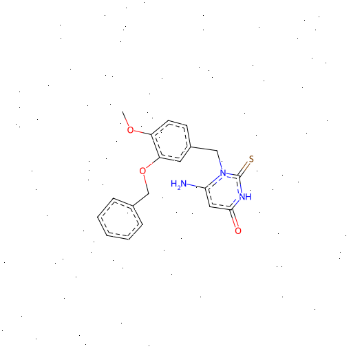 COc1ccc(Cn2c(N)cc(=O)[nH]c2=S)cc1OCc1ccccc1